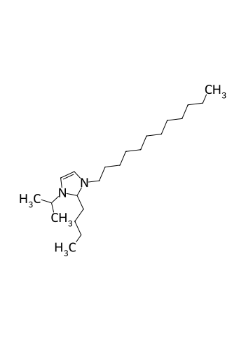 CCCCCCCCCCCCN1C=CN(C(C)C)C1CCCC